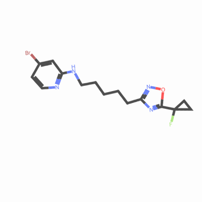 FC1(c2nc(CCCCCNc3cc(Br)ccn3)no2)CC1